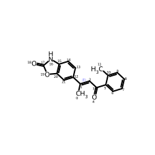 C/C(=C\C(=O)c1ccccc1C)c1ccc2[nH]c(=O)oc2c1